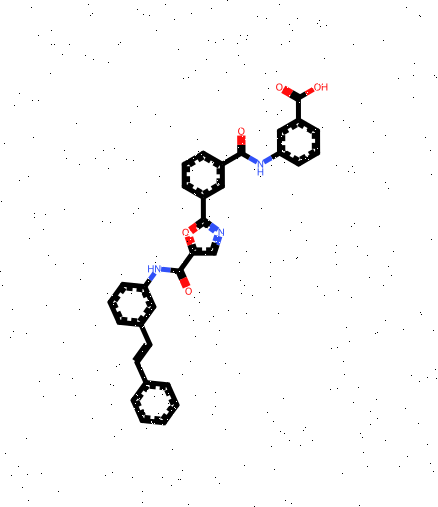 O=C(O)c1cccc(NC(=O)c2cccc(-c3ncc(C(=O)Nc4cccc(/C=C/c5ccccc5)c4)o3)c2)c1